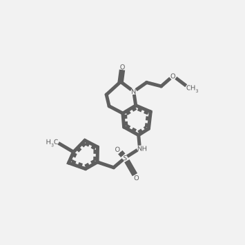 COCCN1C(=O)CCc2cc(NS(=O)(=O)Cc3ccc(C)cc3)ccc21